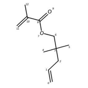 C=CCC(C)(C)COC(=O)C(=C)C